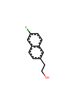 OCCc1ccc2cc(F)ccc2c1